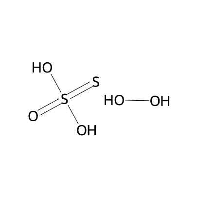 O=S(O)(O)=S.OO